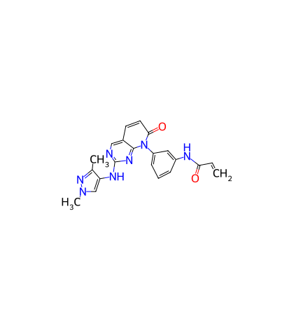 C=CC(=O)Nc1cccc(-n2c(=O)ccc3cnc(Nc4cn(C)nc4C)nc32)c1